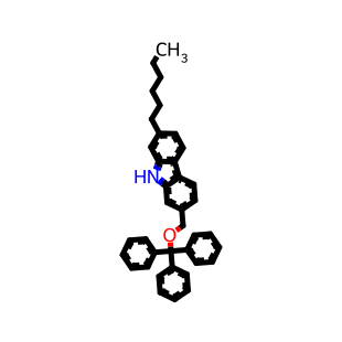 CCCCCCc1ccc2c(c1)[nH]c1cc(COC(c3ccccc3)(c3ccccc3)c3ccccc3)ccc12